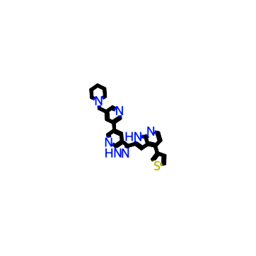 c1cc(-c2ccsc2)c2cc(-c3n[nH]c4ncc(-c5cncc(CN6CCCCC6)c5)cc34)[nH]c2n1